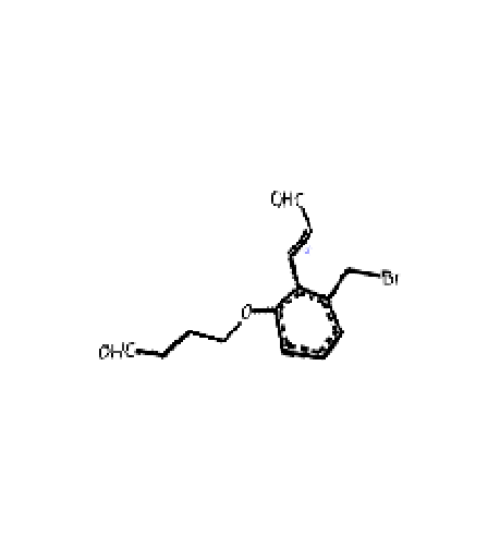 O=C/C=C/c1c(CBr)cccc1OCCCC=O